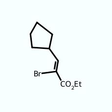 CCOC(=O)C(Br)=CC1CCCC1